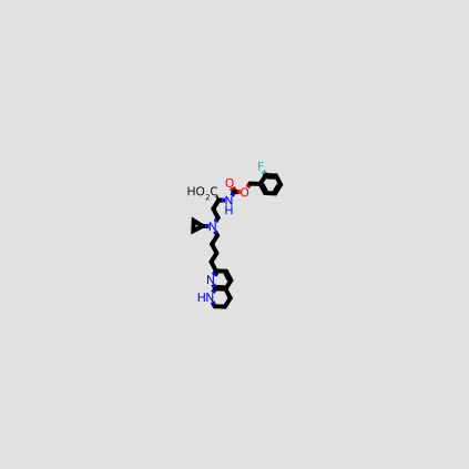 O=C(N[C@@H](CCN(CCCCc1ccc2c(n1)NCCC2)C1CC1)C(=O)O)OCc1ccccc1F